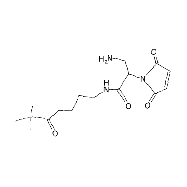 CC(C)(C)C(=O)CCCCNC(=O)C(CN)N1C(=O)C=CC1=O